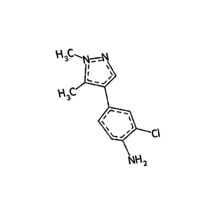 Cc1c(-c2ccc(N)c(Cl)c2)cnn1C